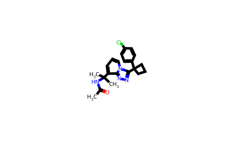 CC(=O)NC(C)(C)c1cccn2c(C3(c4ccc(Cl)cc4)CCC3)nnc12